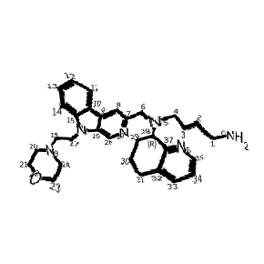 NCCCCN(Cc1cc2c3ccccc3n(CCN3CCOCC3)c2cn1)[C@@H]1CCCc2cccnc21